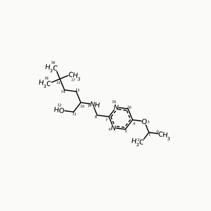 CC(C)Oc1cnc(CNC(CO)CCC(C)(C)C)nc1